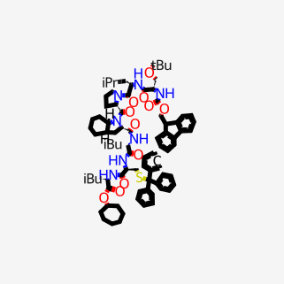 CC[C@H](C)[C@H](NC(=O)[C@@H]1C[C@@H]2CCCC[C@@H]2N1C(=O)[C@@H]1CCCN1C(=O)[C@H](CC(C)C)NC(=O)[C@H](COC(C)(C)C)NC(=O)OCC1c2ccccc2-c2ccccc21)C(=O)N[C@@H](CSC(c1ccccc1)(c1ccccc1)c1ccccc1)C(=O)N[C@H](C(=O)OC1CCCCCC1)[C@@H](C)CC